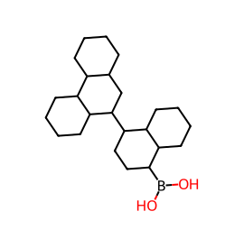 OB(O)C1CCC(C2CC3CCCCC3C3CCCCC32)C2CCCCC12